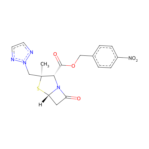 C[C@@]1(Cn2nccn2)S[C@H]2CC(=O)N2[C@H]1C(=O)OCc1ccc([N+](=O)[O-])cc1